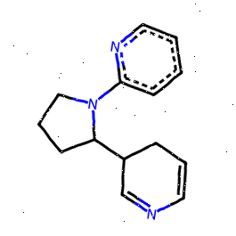 C1=CN=CC(C2CCCN2c2ccccn2)C1